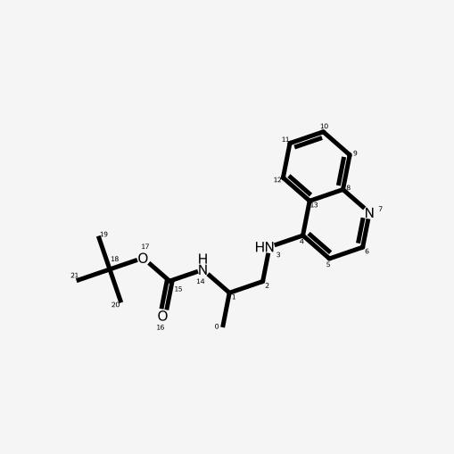 CC(CNc1ccnc2ccccc12)NC(=O)OC(C)(C)C